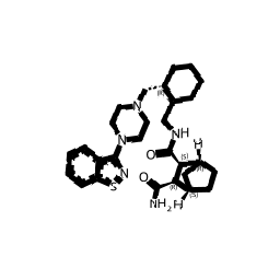 NC(=O)[C@@H]1[C@H]2CC[C@H](C2)[C@@H]1C(=O)NCC1CCCC[C@H]1CN1CCN(c2nsc3ccccc23)CC1